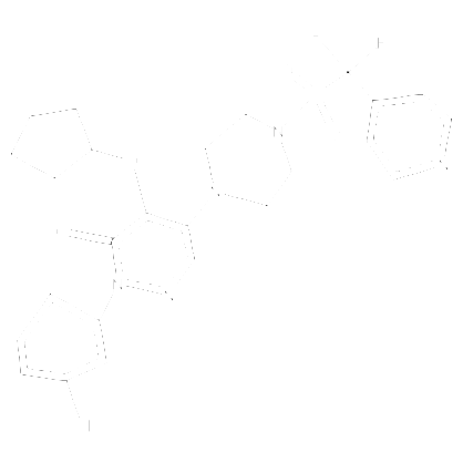 O=c1c(OC2CCCC2)c(N2CCN(S(=O)(=O)C(F)(F)c3ccncc3)CC2)cnn1-c1cccc(Cl)c1